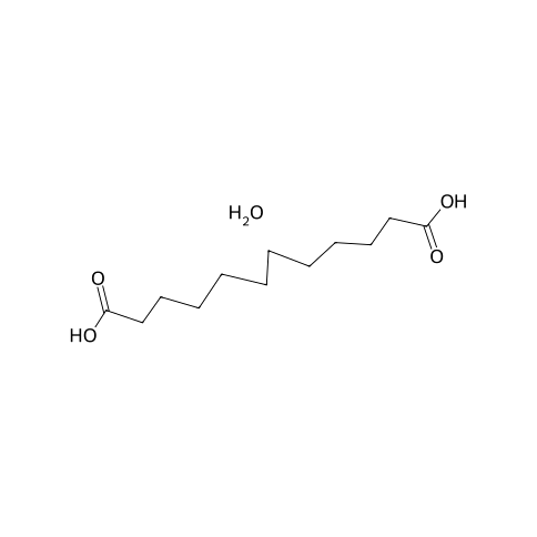 O.O=C(O)CCCCCCCCCCC(=O)O